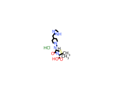 CC1(C)S[C@@H]2[C@H](N=CN3CCC(CC4=NCCN4)CC3)C(=O)N2[C@H]1C(=O)O.Cl